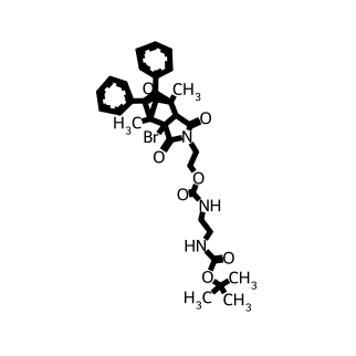 CC(C)(C)OC(=O)NCCNC(=O)OCCN1C(=O)C2C3(C)C(=O)C(C)(C(c4ccccc4)=C3c3ccccc3)C2(Br)C1=O